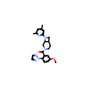 COc1ccc(-n2nccn2)c(C(=O)N2CCC3CN(c4cc(C)cc(C)n4)C3C2)c1